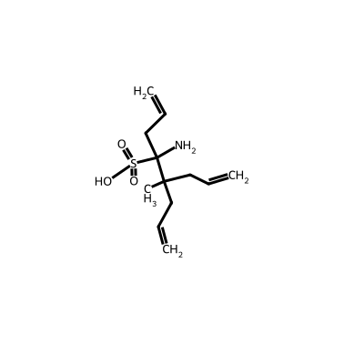 C=CCC(C)(CC=C)C(N)(CC=C)S(=O)(=O)O